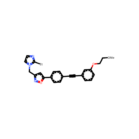 CCc1nccn1Cc1cc(-c2ccc(C#Cc3cccc(OCCOC)c3)cc2)on1